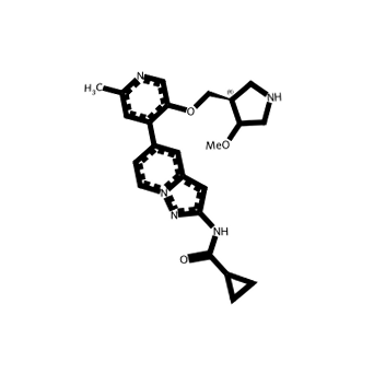 COC1CNC[C@@H]1COc1cnc(C)cc1-c1ccn2nc(NC(=O)C3CC3)cc2c1